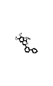 CNc1nc(-c2cccc(-c3ccccc3)c2)cc2cc(OC)c(OC)cc12